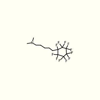 CN(C)CCCCCC1(F)C(F)(F)C(F)(F)C(F)(F)C(F)(F)C1(F)F